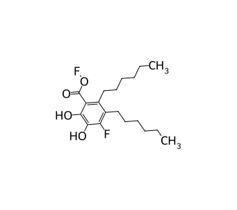 CCCCCCc1c(F)c(O)c(O)c(C(=O)OF)c1CCCCCC